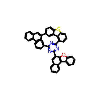 c1ccc(-c2nc(-c3cc4ccccc4c4c3oc3ccccc34)nc(-c3cccc4sc5ccc(-c6ccc7ccccc7c6)cc5c34)n2)cc1